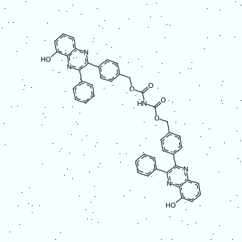 O=C(NC(=O)OCc1ccc(-c2nc3cccc(O)c3nc2-c2ccccc2)cc1)OCc1ccc(-c2nc3cccc(O)c3nc2-c2ccccc2)cc1